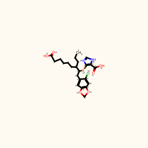 CCCC(CCCCCC(=O)O)C(Cc1cc2c(cc1Cl)OCO2)Sc1nc[nH]c1C(=O)O